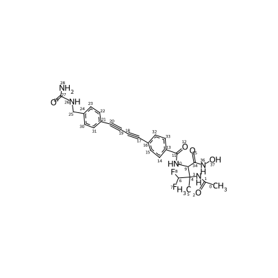 CC(=O)NC(C)(C(F)F)C(NC(=O)c1ccc(C#CC#Cc2ccc(CNC(N)=O)cc2)cc1)C(=O)NO